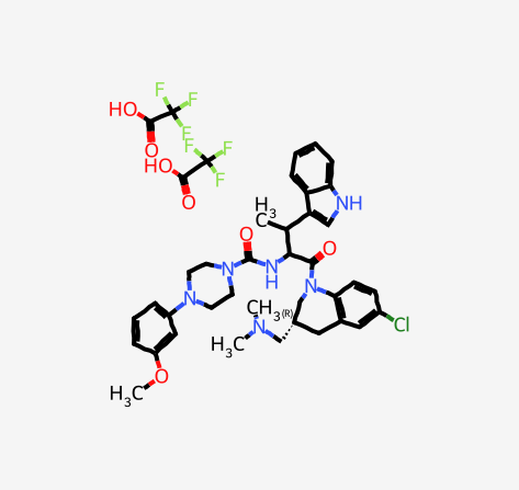 COc1cccc(N2CCN(C(=O)NC(C(=O)N3C[C@@H](CN(C)C)Cc4cc(Cl)ccc43)C(C)c3c[nH]c4ccccc34)CC2)c1.O=C(O)C(F)(F)F.O=C(O)C(F)(F)F